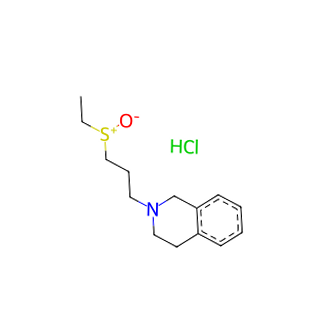 CC[S+]([O-])CCCN1CCc2ccccc2C1.Cl